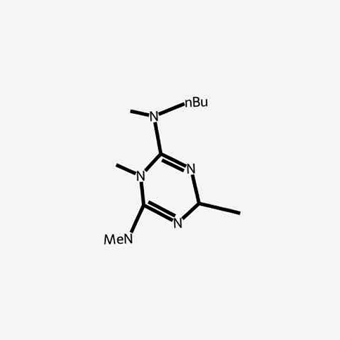 CCCCN(C)C1=NC(C)N=C(NC)N1C